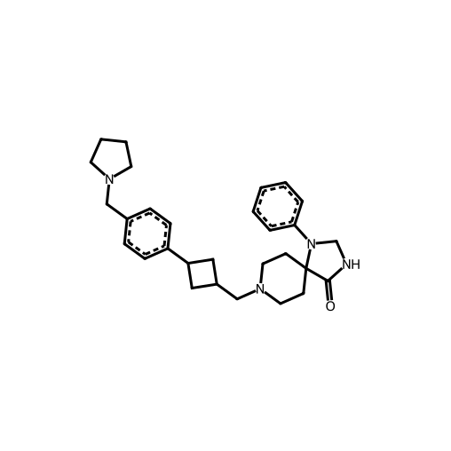 O=C1NCN(c2ccccc2)C12CCN(CC1CC(c3ccc(CN4CCCC4)cc3)C1)CC2